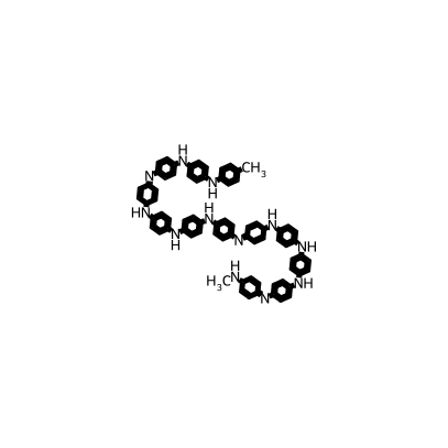 CNC1C=CC(=Nc2ccc(Nc3ccc(Nc4ccc(NC5C=CC(=Nc6ccc(Nc7ccc(Nc8ccc(NC9C=CC(=Nc%10ccc(Nc%11ccc(Nc%12ccc(C)cc%12)cc%11)cc%10)C=C9)cc8)cc7)cc6)C=C5)cc4)cc3)cc2)C=C1